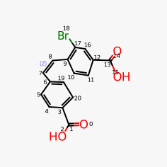 O=C(O)c1ccc(/C=C\c2ccc(C(=O)O)cc2Br)cc1